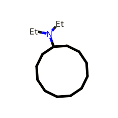 CCN(CC)C1CCCCCCCCCCC1